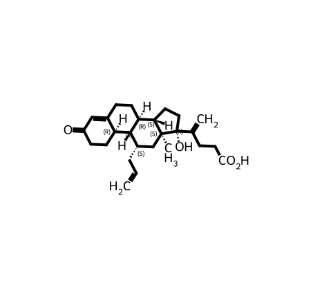 C=CC[C@H]1C[C@@]2(C)[C@@H](CC[C@@]2(O)C(=C)CCC(=O)O)[C@@H]2CCC3=CC(=O)CC[C@@H]3[C@@H]12